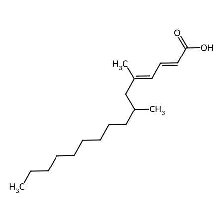 CCCCCCCCCC(C)CC(C)=CC=CC(=O)O